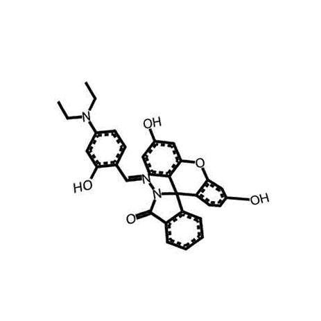 CCN(CC)c1ccc(C=NN2C(=O)c3ccccc3C23c2ccc(O)cc2Oc2cc(O)ccc23)c(O)c1